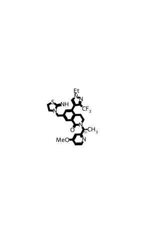 CCn1cc(-c2cc(CN3CCSC3=N)cc3c2CCN([C@@H](C)c2cc(OC)ccn2)C3=O)c(C(F)(F)F)n1